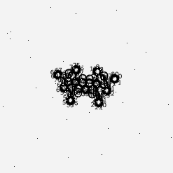 c1ccc(N2B3Oc4ccccc4-c4c5c6c7c(c43)-c3c2cccc3N(c2ccccc2)B7Oc2cc3c4c(c2-6)C(O5)Oc2c5c6c7c(c2-4)B(O3)N(c2ccccc2)c2cccc(c2-7)N(c2ccccc2)B6Oc2ccccc2-5)cc1